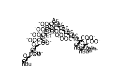 CCC(C(C)=O)C(=O)[O-].CCC(C(C)=O)C(=O)[O-].CCC(C(C)=O)C(=O)[O-].CCC(C(C)=O)C(=O)[O-].CCC(C(C)=O)C(=O)[O-].CCC(C(C)=O)C(=O)[O-].CCC(C(C)=O)C(=O)[O-].CCC(C(C)=O)C(=O)[O-].CCCCOCC(=O)CC(=O)[O-].CCCCOCC(=O)CC(=O)[O-].CCCCOCC(=O)CC(=O)[O-].CCCCOCC(=O)CC(=O)[O-].[Zr+4].[Zr+4].[Zr+4]